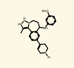 COc1cccc(NC2CCN3NNC(C)=C3c3ccc(C4=CCN(C(C)=O)CC4)cc32)c1